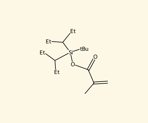 C=C(C)C(=O)O[Si](C(CC)CC)(C(CC)CC)C(C)(C)C